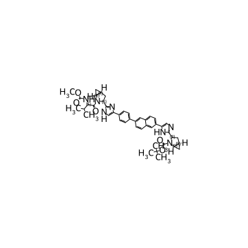 COC(=O)N[C@H](C(=O)N1[C@@H]2C[C@@H]2C[C@H]1c1nc(-c2ccc(-c3ccc4cc(-c5cnc([C@H]6C[C@H]7C[C@H]7N6C(=O)OC(C)(C)C)[nH]5)ccc4c3)cc2)c[nH]1)C(C)C